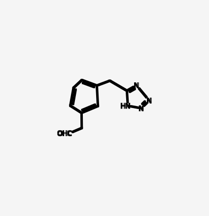 O=CCc1cccc(Cc2nnn[nH]2)c1